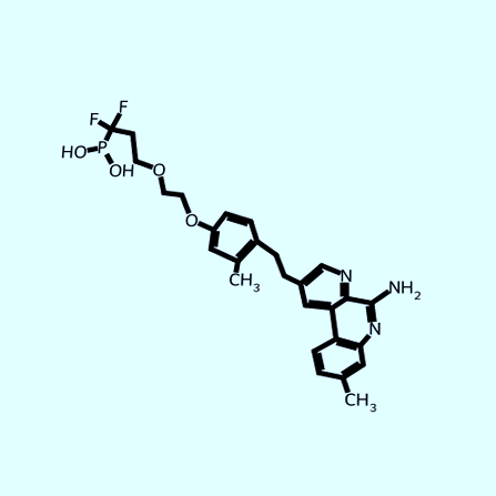 Cc1ccc2c(c1)nc(N)c1ncc(CCc3ccc(OCCOCCC(F)(F)P(O)O)cc3C)cc12